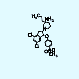 CCCC1(N)CCCN([C@H]2Cc3c(Cl)cc(Cl)cc3[C@H]2Oc2ccc(S(C)(=O)=O)cc2)C1